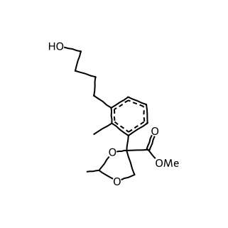 COC(=O)C1(c2cccc(CCCCO)c2C)COC(C)O1